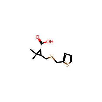 CC1(C)C(CSCc2cccs2)[C@H]1C(=O)O